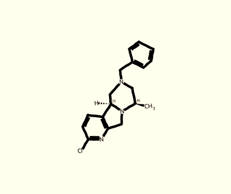 C[C@@H]1CN(Cc2ccccc2)C[C@@H]2c3ccc(Cl)nc3CN12